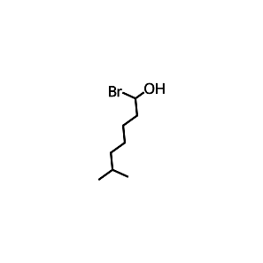 CC(C)CCCCC(O)Br